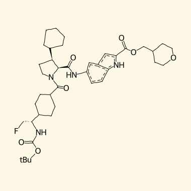 CC(C)(C)OC(=O)N[C@H](CF)C1CCC(C(=O)N2CC[C@@H](C3CCCCC3)[C@H]2C(=O)Nc2ccc3[nH]c(C(=O)OCC4CCOCC4)cc3c2)CC1